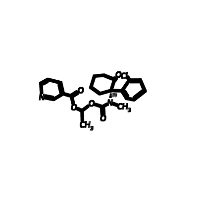 CC(OC(=O)c1cccnc1)OC(=O)N(C)[C@]1(c2ccccc2Cl)CCCCC1=O